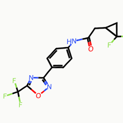 O=C(CC1CC1(F)F)Nc1ccc(-c2noc(C(F)(F)F)n2)cc1